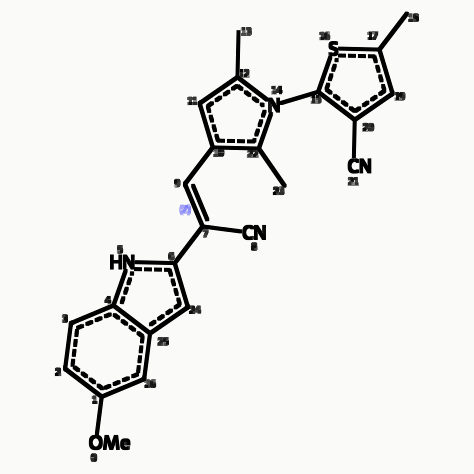 COc1ccc2[nH]c(/C(C#N)=C/c3cc(C)n(-c4sc(C)cc4C#N)c3C)cc2c1